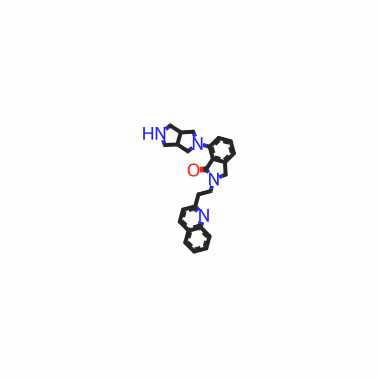 O=C1c2c(cccc2N2CC3CNCC3C2)CN1CCc1ccc2ccccc2n1